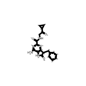 Nc1nc(C(=O)NCC(=O)C2CC2)nc2c1NC(=O)C2Cc1ccccc1